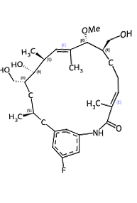 CO[C@H]1/C(C)=C/[C@H](C)[C@@H](O)[C@@H](CO)C[C@H](C)Cc2cc(F)cc(c2)NC(=O)/C(C)=C/CC[C@@H]1CO